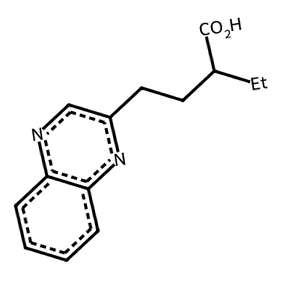 CCC(CCc1cnc2ccccc2n1)C(=O)O